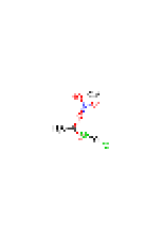 CC(=O)[O-].O=[N+]([O-])O.[Cl][Cu][Cl].[Cu+]